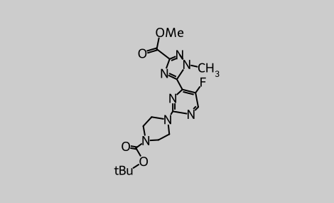 COC(=O)c1nc(-c2nc(N3CCN(C(=O)OC(C)(C)C)CC3)ncc2F)n(C)n1